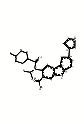 CC1CCC(C(=O)N(c2cc3c(cc2C(=O)O)oc2ccc(-c4ccoc4)cc23)C(C)C)CC1